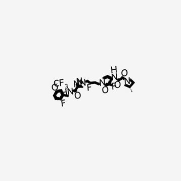 C[C@H]1CCN(C(=O)C(=O)Nc2ccn(CCC(F)Cn3cc(C(=O)NCc4cc(OC(F)(F)F)ccc4F)nn3)c(=O)c2F)C1